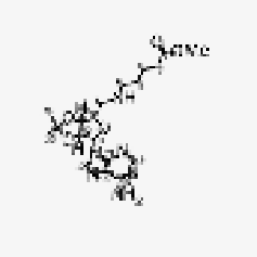 COC(=O)CCCCNC[C@H]1O[C@@H](n2cnc3c(N)ncnc32)[C@@H]2OC(C)(C)O[C@@H]21